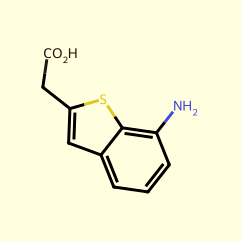 Nc1cccc2cc(CC(=O)O)sc12